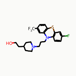 OCCC1CCN(CCCN2c3ccc(F)cc3Sc3ccc(C(F)(F)F)cc32)CC1